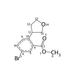 COC(=O)c1cc(Br)ccc1C1CCOC1